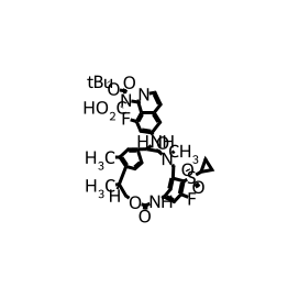 Cc1cc2ccc1[C@@H](C)COC(=O)Nc1cc(F)c(S(=O)(=O)C3CC3)c(c1)CN(C)C(=O)[C@@H]2Nc1cc(F)c2c(N(C(=O)O)C(=O)OC(C)(C)C)nccc2c1